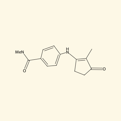 CNC(=O)c1ccc(NC2=C(C)C(=O)CC2)cc1